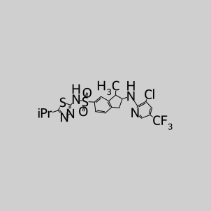 CC(C)c1nnc(NS(=O)(=O)c2ccc3c(c2)C(C)C(Nc2ncc(C(F)(F)F)cc2Cl)C3)s1